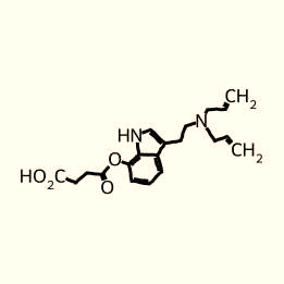 C=CCN(CC=C)CCc1c[nH]c2c(OC(=O)CCC(=O)O)cccc12